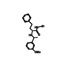 COc1cccc(C(C)NC(CCc2ccccc2)C(=O)NC(C)C)c1